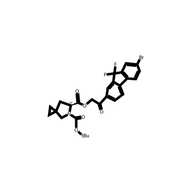 CC(C)(C)OC(=O)N1CC2(CC2)C[C@H]1C(=O)OCC(=O)c1ccc2c(c1)C(F)(F)c1cc(Br)ccc1-2